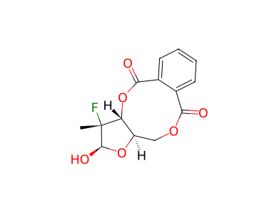 C[C@]1(F)[C@H](O)O[C@@H]2COC(=O)c3ccccc3C(=O)O[C@H]21